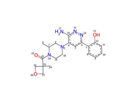 CC1CN(c2cc(-c3ccccc3O)nnc2N)CCN1C(=O)C1(C)COC1